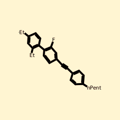 [CH2][CH]c1ccc(-c2ccc(C#Cc3ccc(CCCCC)cc3)cc2F)c(CC)c1